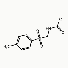 CC(=O)C(=O)NCS(=O)(=O)c1ccc(C)cc1